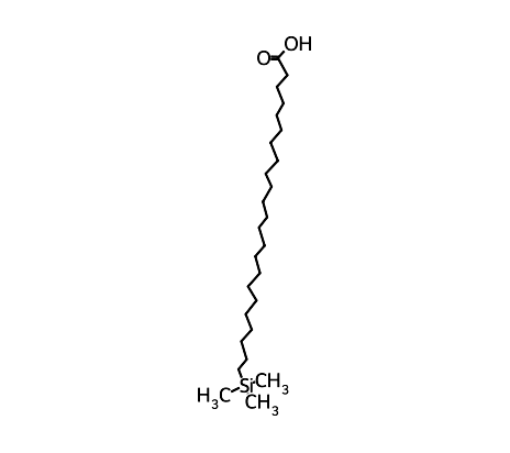 C[Si](C)(C)CCCCCCCCCCCCCCCCCCCCCCC(=O)O